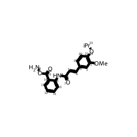 COc1cc(/C=C/C(=O)Nc2ccccc2C(=O)ON)ccc1OC(C)C